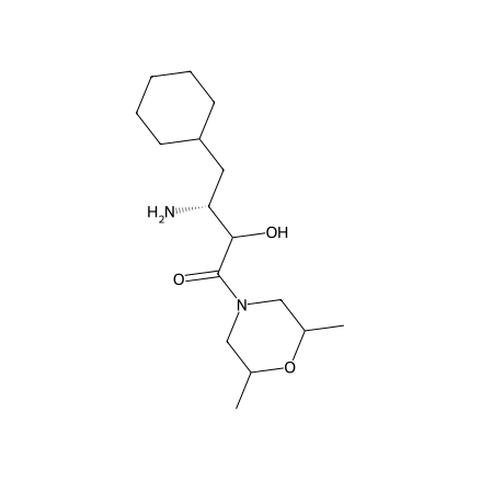 CC1CN(C(=O)C(O)[C@H](N)CC2CCCCC2)CC(C)O1